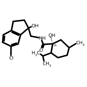 CC1CCC(C(C)C)[C@@](O)(C(=O)NCC2(O)CCc3ccc(Cl)cc32)C1